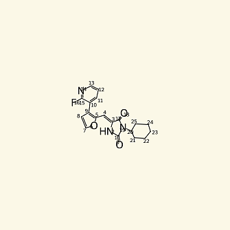 O=C1N/C(=C\c2occc2-c2cccnc2F)C(=O)N1C1CCCCC1